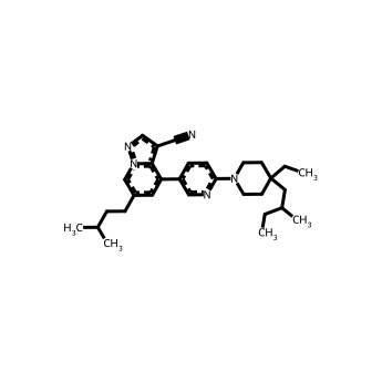 CCC(C)CC1(CC)CCN(c2ccc(-c3cc(CCC(C)C)cn4ncc(C#N)c34)cn2)CC1